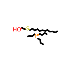 CCCCCCCCCCCCSCCO.CCCCP(CCCC)CCCC